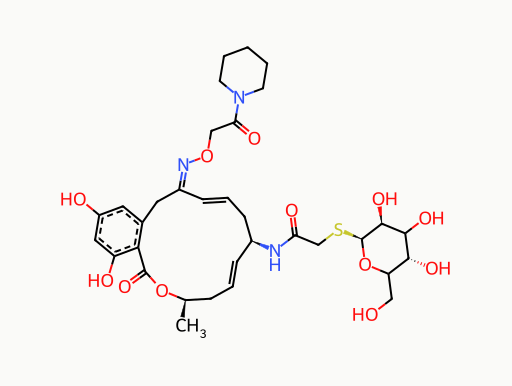 C[C@@H]1C/C=C/[C@H](NC(=O)CS[C@@H]2OC(CO)[C@@H](O)C(O)[C@@H]2O)C/C=C/C(=N\OCC(=O)N2CCCCC2)Cc2cc(O)cc(O)c2C(=O)O1